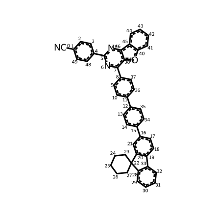 N#Cc1ccc(-c2nc(-c3ccc(-c4ccc(-c5ccc6c(c5)C5(CCCCC5)c5ccccc5-6)cc4)cc3)c3oc4ccccc4c3n2)cc1